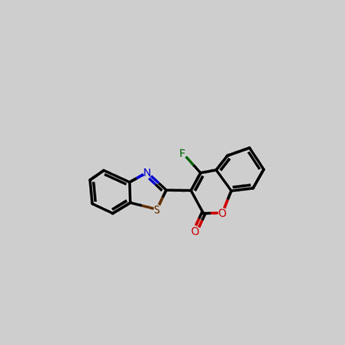 O=c1oc2ccccc2c(F)c1-c1nc2ccccc2s1